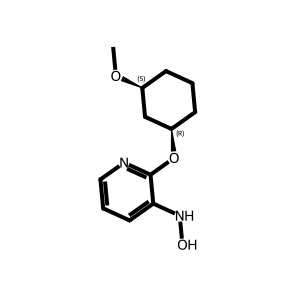 CO[C@H]1CCC[C@@H](Oc2ncccc2NO)C1